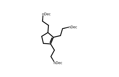 CCCCCCCCCCCCC1=C(CCCCCCCCCCCC)C(CCCCCCCCCCCC)CC1